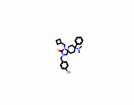 CN(C)[C@]1(c2ccccc2)CC[C@@]2(CC1)CN(Cc1ccc(C#N)cc1)C(=O)N2CC1CCC1